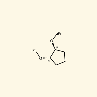 CC(C)O[C@H]1CCC[C@@H]1OC(C)C